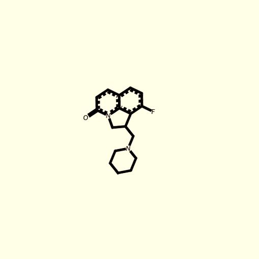 O=c1ccc2ccc(F)c3c2n1CC3CN1CC[CH]CC1